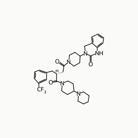 O=C(C[C@@H](Cc1cccc(C(F)(F)F)c1)C(=O)N1CCC(N2CCCCC2)CC1)N1CCC(N2Cc3ccccc3NC2=O)CC1